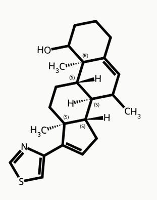 CC1C=C2CCCC(O)[C@]2(C)[C@H]2CC[C@]3(C)C(c4cscn4)=CC[C@H]3[C@H]12